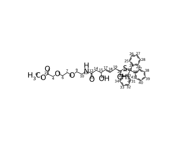 COC(=O)COCCOCCNC(=O)CC(O)C=CCC(C)SC(c1ccccc1)(c1ccccc1)c1ccccc1